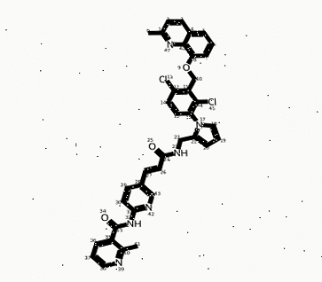 Cc1ccc2cccc(OCc3c(Cl)ccc(-n4cccc4CNC(=O)/C=C/c4ccc(NC(=O)c5cccnc5C)nc4)c3Cl)c2n1